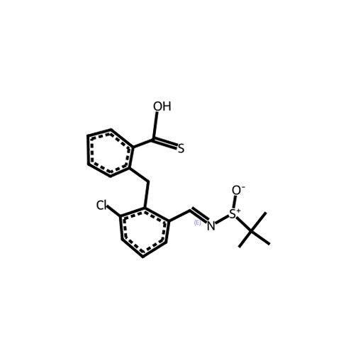 CC(C)(C)[S+]([O-])/N=C/c1cccc(Cl)c1Cc1ccccc1C(O)=S